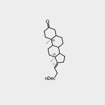 CCCCCCCCCCC/C=C1\CCC2C3CCC4CC(=O)CC[C@]4(C)C3CC[C@]12C